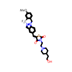 COc1ccc(Cn2ncc3cc(/C=C4\SC(=O)N(CCN5CCC(CCO)CC5)C4=O)ccc32)c(C(F)(F)F)c1